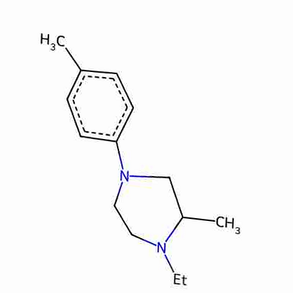 CCN1CCN(c2ccc(C)cc2)CC1C